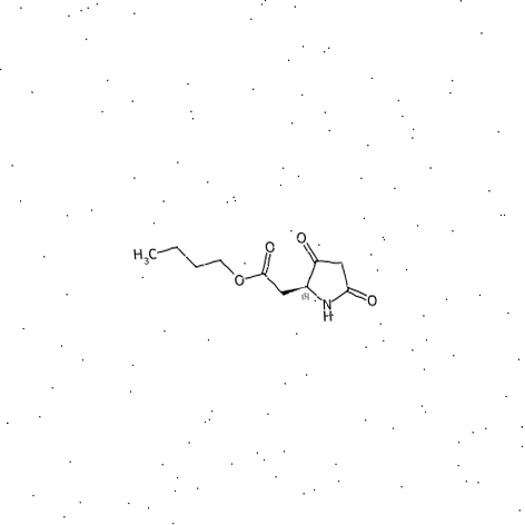 CCCCOC(=O)C[C@@H]1NC(=O)CC1=O